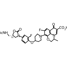 CC(=O)NC[C@H]1CN(c2ccc(OC3CCN(c4c(F)cc5c(=O)c(C(=O)O)cn6c5c4OCC6C)CC3)c(F)c2)C(=O)O1